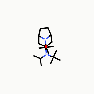 CC(C)N(C1CC2CCC(C1)N2C(C)(C)C)C(C)(C)C